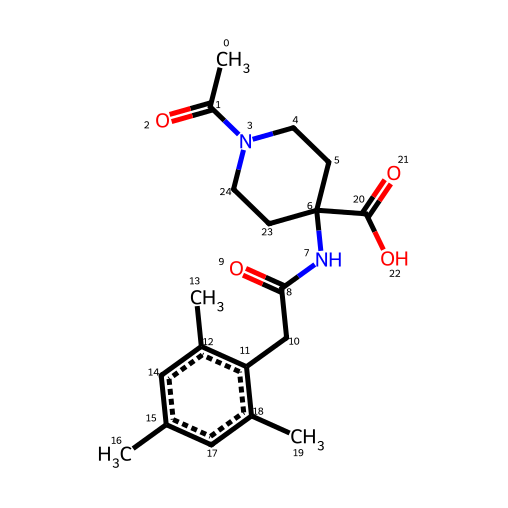 CC(=O)N1CCC(NC(=O)Cc2c(C)cc(C)cc2C)(C(=O)O)CC1